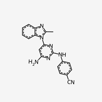 Cc1nc2ccccc2n1-c1cc(N)nc(Nc2ccc(C#N)cc2)n1